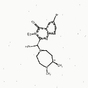 CCCC(c1nc2ccc(Br)cc2c(=O)n1CC)N1CC[C@@H](C)N(C)CC1